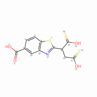 O=C(O)c1ccc2sc(C(CC(O)=S)C(O)=S)nc2c1